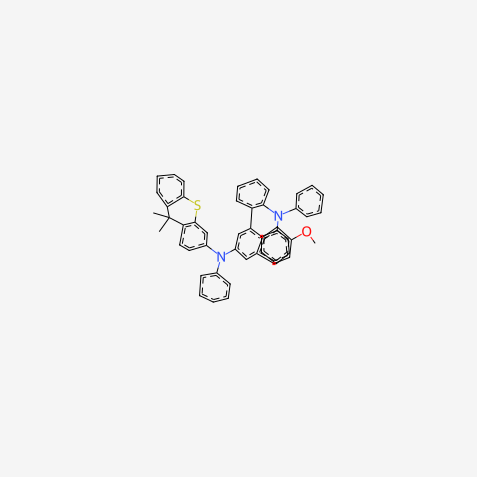 COc1ccc2cc(N(c3ccccc3)c3ccc4c(c3)Sc3ccccc3C4(C)C)cc(-c3ccccc3N(c3ccccc3)c3ccccc3)c2c1